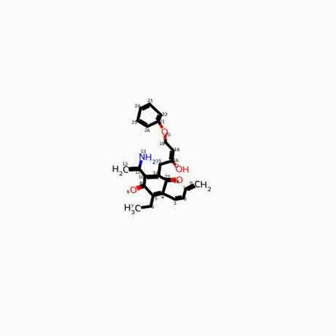 C=C/C=C\C1=C(CC)C(=O)C(C(=C)N)=C(C/C(O)=C\COc2ccccc2)C1=O